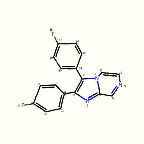 Fc1ccc(-c2nc3cnccn3c2-c2ccc(F)cc2)cc1